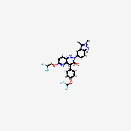 Cc1c2cc(-n3nc4ccc(OCC(F)F)nc4c(-c4ccc(OC(F)F)cc4)c3=O)ccc2nn1C